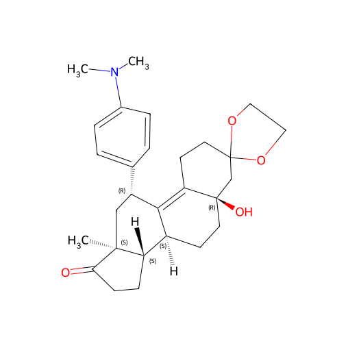 CN(C)c1ccc([C@H]2C[C@]3(C)C(=O)CC[C@H]3[C@@H]3CC[C@@]4(O)CC5(CCC4=C32)OCCO5)cc1